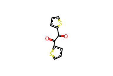 O=C(C(=O)c1cccs1)c1cccs1